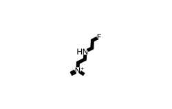 C=[N+](C)CCNCCF